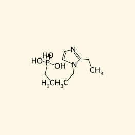 CC[PH](O)(O)O.CCc1nccn1CC